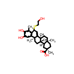 Cc1c(O)c(O)cc2c1C(SCCO)C=C1[C@@]2(C)CC[C@@]2(C)[C@@H]3C[C@](C)(C(=O)O)CC[C@]3(C)CC[C@]12C